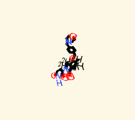 [2H]c1cc2c(c(OCc3ccc(CN4CCOCC4)cc3)c1[2H])C([2H])([2H])N(C1CCC(=O)NC1=O)C2=O